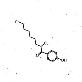 O=C(c1ccc(O)cc1)C(Cl)CCCCCCCl